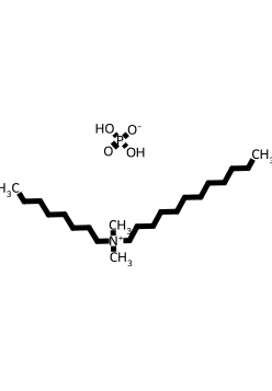 CCCCCCCCCCCC[N+](C)(C)CCCCCCCC.O=P([O-])(O)O